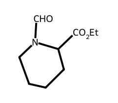 CCOC(=O)C1CCCCN1C=O